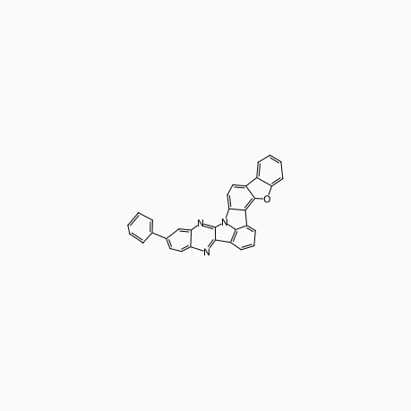 c1ccc(-c2ccc3nc4c5cccc6c7c8oc9ccccc9c8ccc7n(c4nc3c2)c56)cc1